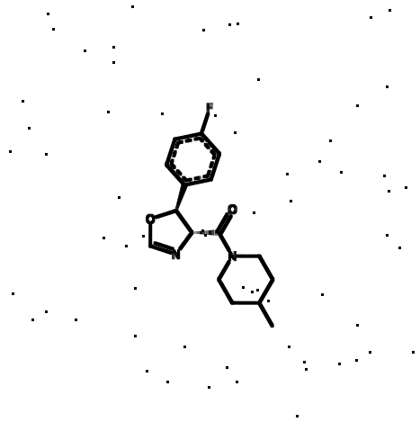 CC1CCN(C(=O)[C@@H]2N=CO[C@H]2c2ccc(F)cc2)CC1